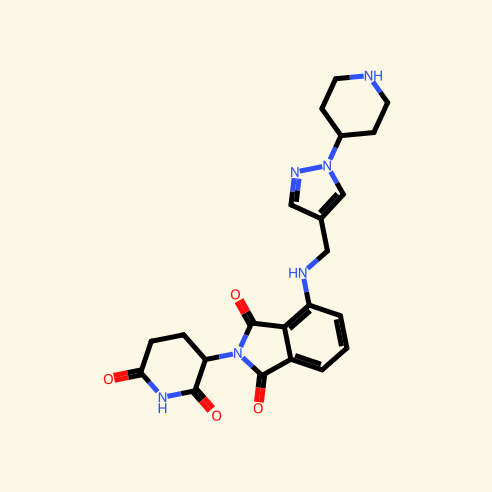 O=C1CCC(N2C(=O)c3cccc(NCc4cnn(C5CCNCC5)c4)c3C2=O)C(=O)N1